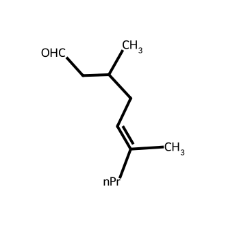 CCCC(C)=CCC(C)CC=O